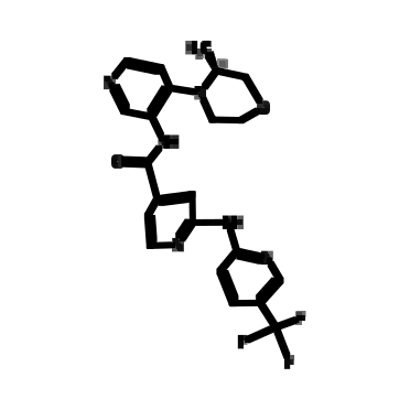 C[C@H]1COCCN1c1ccncc1NC(=O)c1ccnc(Nc2ccc(C(F)(F)F)cn2)c1